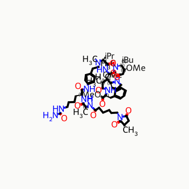 CC[C@H](C)[C@@H]([C@@H](CC(=O)N1CCC[C@H]1[C@H](OC)[C@@H](C)C(=O)N[C@@H](Cc1ccccc1)C(=O)OC)OC)N(C)C(=O)[C@H](C)NC(=O)[C@H](C(C)C)N(C)CCc1ccc(NC(=O)[C@H](CCCCNC(N)=O)NC(=O)[C@H](C)NC(=O)CCCCCN2C(=O)CC(C)C2=O)cc1